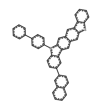 c1ccc(-c2ccc(-n3c4ccc(-c5ccc6ccccc6c5)cc4c4cc5cc6sc7ccccc7c6cc5cc43)cc2)cc1